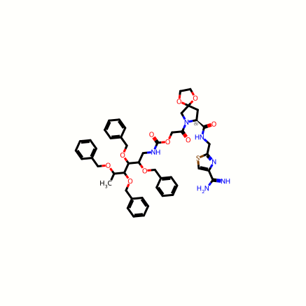 CC(OCc1ccccc1)C(OCc1ccccc1)C(OCc1ccccc1)C(CNC(=O)OCC(=O)N1CC2(C[C@H]1C(=O)NCc1nc(C(=N)N)cs1)OCCO2)OCc1ccccc1